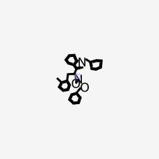 Cc1ccccc1C/C(=N\OC(=O)c1ccccc1)c1cn(Cc2ccccc2)c2ccccc12